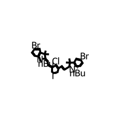 CCCCN1/C(=C\C=C2\CCCC(/C=C/C3=[N+](CCCC)c4ccc(Br)cc4C3(C)C)=C2Cl)C(C)(C)c2cc(Br)ccc21.[I-]